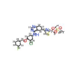 CC(OC(C)S(=O)(=O)C(C)C)c1nc(-c2ccc3ncnc(Nc4ccc(OCc5cccc(F)c5)c(Cl)c4)c3c2)cs1